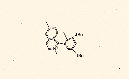 Cc1ccc2c(-c3cc(C(C)(C)C)cc(C(C)(C)C)c3C)[n+](C)ccc2c1